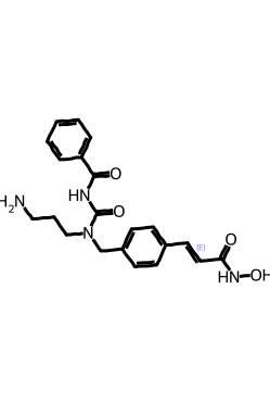 NCCCN(Cc1ccc(/C=C/C(=O)NO)cc1)C(=O)NC(=O)c1ccccc1